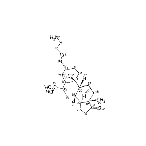 C[C@]12CCC(=NOCCN)CC1C(C(=O)O)C[C@@H]1[C@H]2CC[C@]2(C)C(=O)CC[C@@H]12.Cl